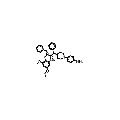 CCOc1cc(OC)c(CN(Cc2ccccc2)C(=O)C(c2ccccc2)C2CCN(c3ccc(N)cc3)CC2)c(OC)c1